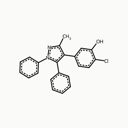 Cc1nn(-c2ccccc2)c(-c2ccccc2)c1-c1ccc(Cl)c(O)c1